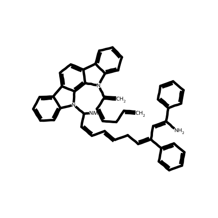 C=CC/C=C\C(=C)n1c2ccccc2c2ccc3c4ccccc4n(C(/C=C\C=C\C/C=C(\C=C(/N)c4ccccc4)c4ccccc4)NC)c3c21